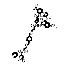 CC(C)N(C)[C@@H]1CC[C@H](N2CC[C@H](Nc3ncnc4ccc(C(F)(F)F)cc34)C2=O)[C@H](NC(=O)C2CC(NC(=O)CCOCC3CCC(COCCNC(=O)[C@H]4CC(=O)N(C)[C@@H]4c4cccnc4)CC3)C2)C1